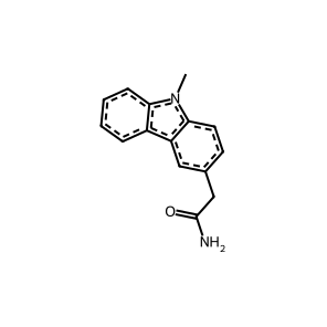 Cn1c2ccccc2c2cc(CC(N)=O)ccc21